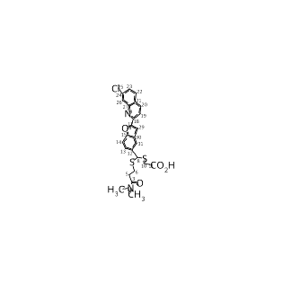 CN(C)C(=O)CCSC(SCC(=O)O)c1ccc2oc(-c3ccc4ccc(Cl)cc4n3)cc2c1